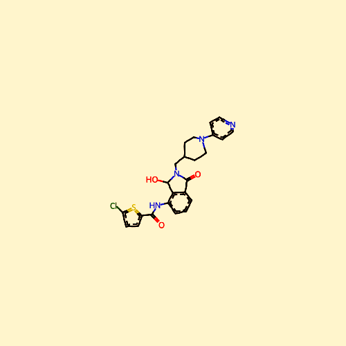 O=C(Nc1cccc2c1C(O)N(CC1CCN(c3ccncc3)CC1)C2=O)c1ccc(Cl)s1